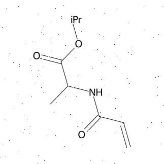 C=CC(=O)NC(C)C(=O)OC(C)C